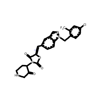 O=C1CNCCC1N1C(=O)S/C(=C\c2ccc3c(cnn3Cc3ccc(Cl)cc3C(F)(F)F)c2)C1=O